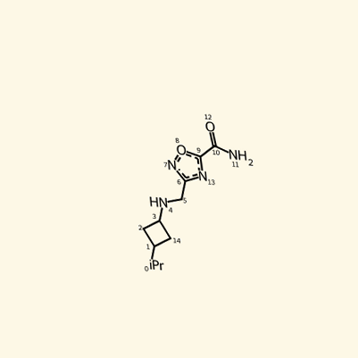 CC(C)C1CC(NCc2noc(C(N)=O)n2)C1